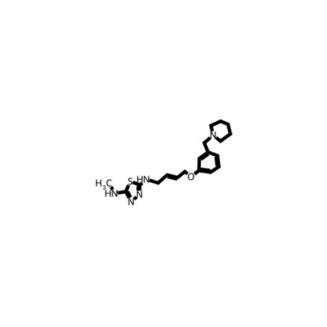 CNc1nnc(NCC=CCOc2cccc(CN3CCCCC3)c2)s1